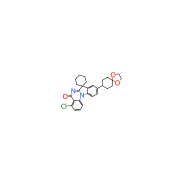 O=c1nc2n(c3cccc(Cl)c13)-c1ccc(C3CCC4(CC3)OCCO4)cc1C21CCCCC1